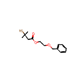 CC(C)(S)CC(=O)OCCOCc1ccccc1